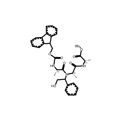 C[C@H](NC(=O)[C@H](C)N(C(=O)[C@H](C)NC(=O)OCC1c2ccccc2-c2ccccc21)C(CO)c1ccccc1)C(=O)OC(C)(C)C